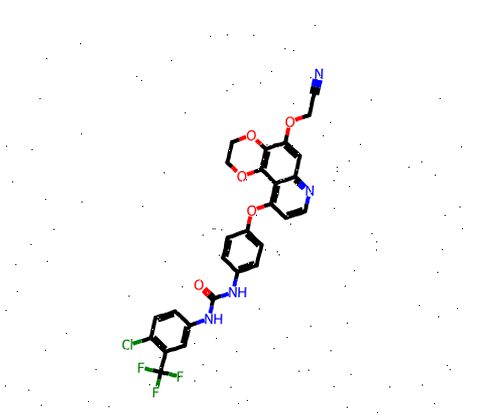 N#CCOc1cc2nccc(Oc3ccc(NC(=O)Nc4ccc(Cl)c(C(F)(F)F)c4)cc3)c2c2c1OCCO2